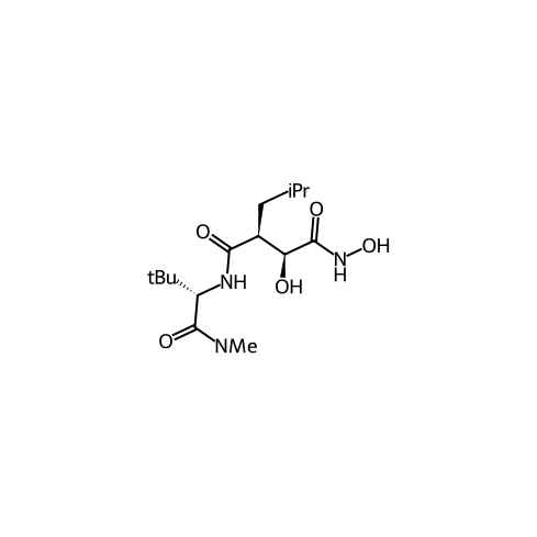 CNC(=O)[C@@H](NC(=O)[C@@H](CC(C)C)[C@H](O)C(=O)NO)C(C)(C)C